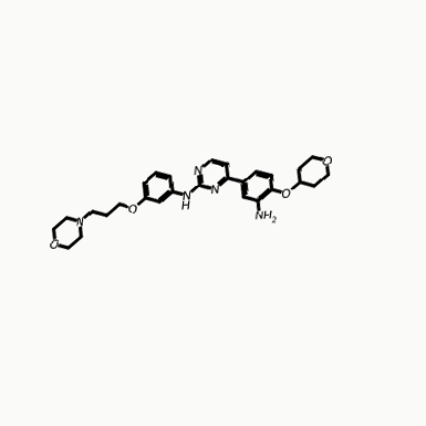 Nc1cc(-c2ccnc(Nc3cccc(OCCCN4CCOCC4)c3)n2)ccc1OC1CCOCC1